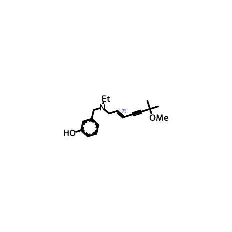 CCN(C/C=C/C#CC(C)(C)OC)Cc1cccc(O)c1